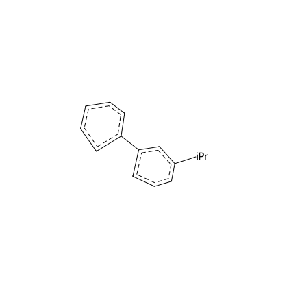 [CH2]C(C)c1cccc(-c2ccccc2)c1